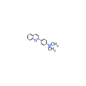 CN(C)c1ccc(-c2ccc3ccccc3n2)cc1